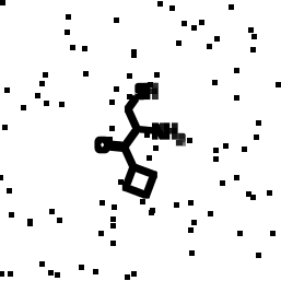 NC(CS)C(=O)C1CCC1